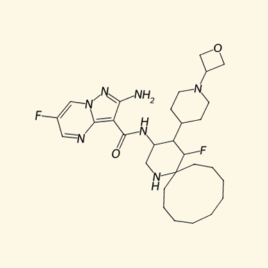 Nc1nn2cc(F)cnc2c1C(=O)NC1CNC2(CCCCCCCCC2)C(F)C1C1CCN(C2COC2)CC1